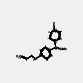 C=CCOc1ccc(N(OC)c2ccc(F)cc2)cc1